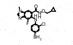 Bc1ccc(Nc2c(C(=O)NOCC3CC3)cc3c(ncn3C)c2F)c(Cl)c1